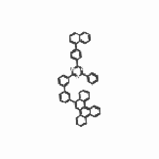 c1ccc(-c2nc(-c3ccc(-c4cccc5ccccc45)cc3)nc(-c3cccc(-c4cccc(-c5cc6c7ccccc7c7ccccc7c6c6ccccc56)c4)c3)n2)cc1